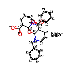 O=C([O-])C1CC=CN(Cc2ccccc2)C1OC1C(C(=O)[O-])CC=CN1Cc1ccccc1.[Na+].[Na+]